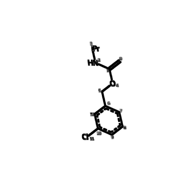 C=C(NC(C)C)OCc1cccc(Cl)c1